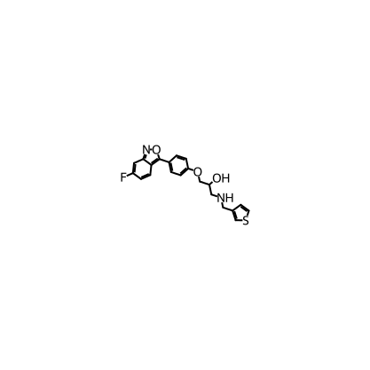 OC(CNCc1ccsc1)COc1ccc(-c2onc3cc(F)ccc23)cc1